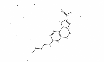 CCCCOc1ccc2c(c1)CCc1cc(C(C)=O)sc1-2